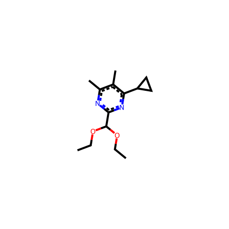 CCOC(OCC)c1nc(C)c(C)c(C2CC2)n1